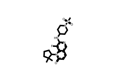 CC1(C)CCCC1n1c(=O)ccc2cnc(NC3CCN(S(C)(=O)=O)CC3)c(F)c21